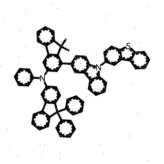 CC1(C)c2ccccc2-c2cc(N(c3ccccc3)c3ccc4c(c3)-c3ccccc3C4(c3ccccc3)c3ccccc3)cc(-c3ccc4c(c3)c3ccccc3n4-c3ccc4sc5ccccc5c4c3)c21